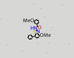 COc1cccc(C(=O)Nc2nc3c(OC)ccc(-c4ccccc4)c3s2)c1